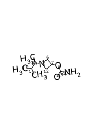 CC(C)[C@@H](C)N1CC(OC(N)=O)C1